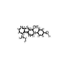 CCN(C)c1ccnc2sc3c(=O)n(-c4ccc(OC)cc4F)cnc3c12